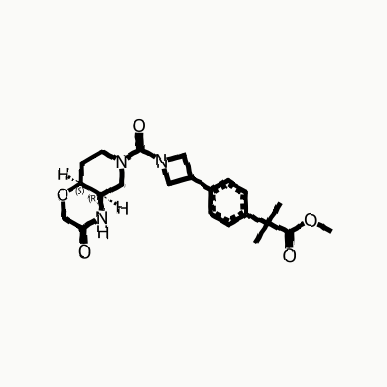 COC(=O)C(C)(C)c1ccc(C2CN(C(=O)N3CC[C@@H]4OCC(=O)N[C@@H]4C3)C2)cc1